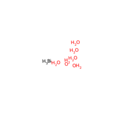 O.O.O.O.O.O.[BiH3]